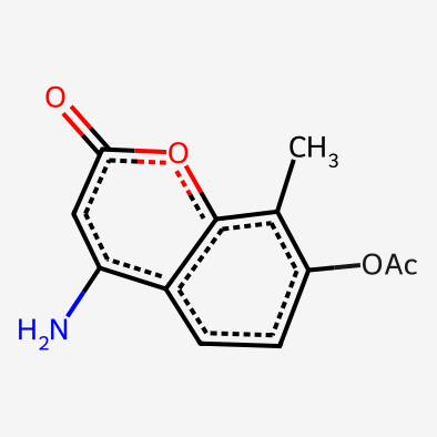 CC(=O)Oc1ccc2c(N)cc(=O)oc2c1C